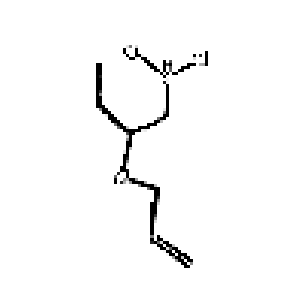 C=CCOC(CC)C[SiH](Cl)Cl